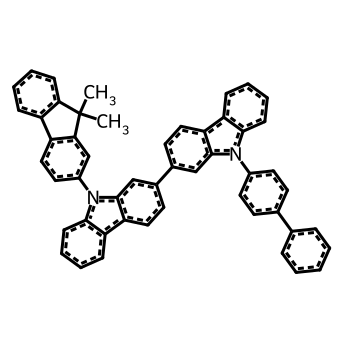 CC1(C)c2ccccc2-c2ccc(-n3c4ccccc4c4ccc(-c5ccc6c7ccccc7n(-c7ccc(-c8ccccc8)cc7)c6c5)cc43)cc21